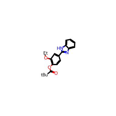 CCOc1cc(-c2nc3ccccc3[nH]2)ccc1OC(=O)C(C)(C)C